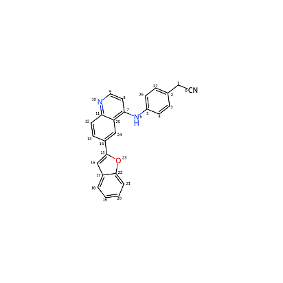 N#CCc1ccc(Nc2ccnc3ccc(-c4cc5ccccc5o4)cc23)cc1